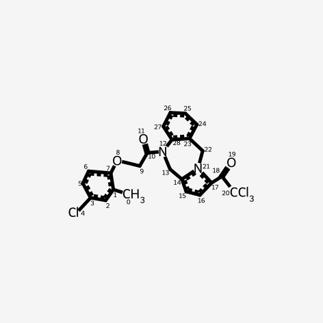 Cc1cc(Cl)ccc1OCC(=O)N1Cc2ccc(C(=O)C(Cl)(Cl)Cl)n2Cc2ccccc21